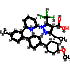 CCc1nn(-c2cccc(-c3cc(C)ccc3-c3ccc(C4CCC(OC)CC4)cc3)n2)c(C(F)(F)F)c1C(=O)O